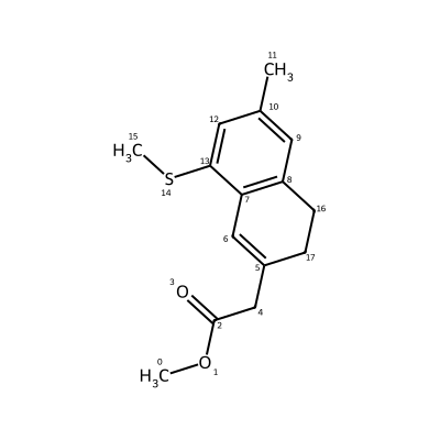 COC(=O)CC1=Cc2c(cc(C)cc2SC)CC1